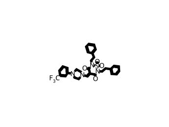 O=C1C(=CN2CCN(c3cccc(C(F)(F)F)c3)CC2)C(=O)N(CCc2ccccc2)S(=O)(=O)N1CCc1ccccc1